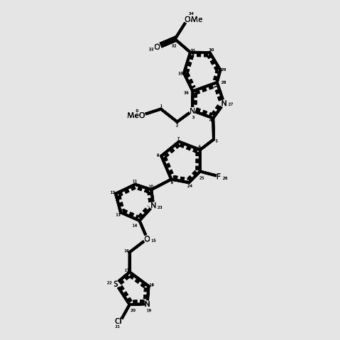 COCCn1c(Cc2ccc(-c3cccc(OCc4cnc(Cl)s4)n3)cc2F)nc2ccc(C(=O)OC)cc21